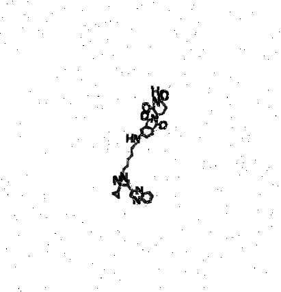 O=C1CCC(N2C(=O)c3ccc(NCCCCCCn4cc(-c5cnc6ccccc6n5)c(C5CC5)n4)cc3C2=O)C(=O)N1